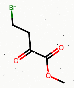 COC(=O)C(=O)CCBr